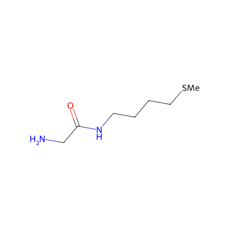 CSCCCCNC(=O)CN